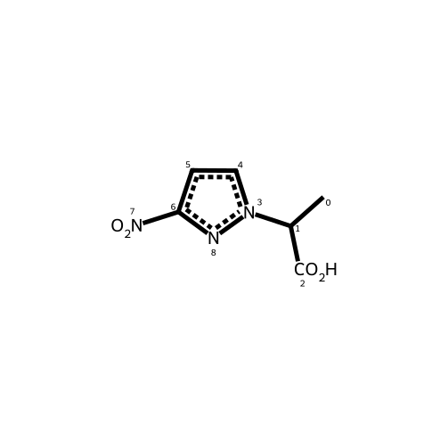 CC(C(=O)O)n1ccc([N+](=O)[O-])n1